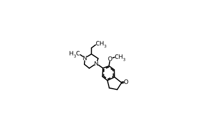 CCC1CN(c2cc3c(cc2OC)C(=O)CC3)CCN1C